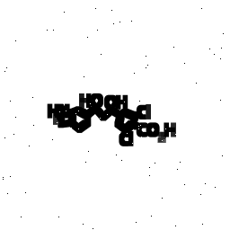 O=C(O)c1c(Cl)cc(C(O)CC(O)c2ccc3cn[nH]c3c2)cc1Cl